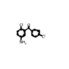 Nc1ccc(Cl)c(C(=O)c2ccc(Cl)cc2)c1